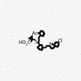 CC(=O)c1ccccc1CCC(SCC1(CC(=O)O)CC1)c1cccc(/C=C/c2ccc3ccc(Cl)cc3n2)c1